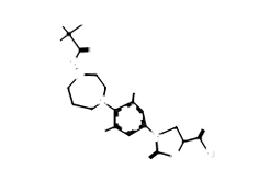 NC(=O)C1CN(c2cc(F)c(N3CCCS(=NC(=O)C(F)(F)F)CC3)c(F)c2)C(=O)O1